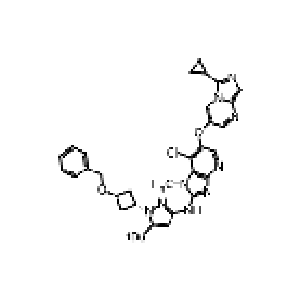 Cn1c(Nc2cc(C(C)(C)C)n([C@H]3C[C@H](OCc4ccccc4)C3)n2)nc2ncc(Oc3cnc4cnc(C5CC5)n4c3)c(Cl)c21